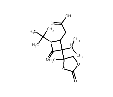 C[SiH](C)C1(C2(C)COC(=O)O2)C(=O)N(C(C)(C)C)C1CC(=O)O